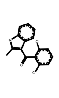 CC1=C(C(=O)c2c(Cl)cccc2Cl)c2ccccc2[N]1